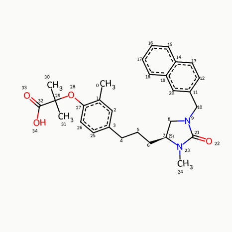 Cc1cc(CCC[C@H]2CN(Cc3ccc4ccccc4c3)C(=O)N2C)ccc1OC(C)(C)C(=O)O